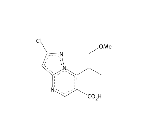 COCC(C)c1c(C(=O)O)cnc2cc(Cl)nn12